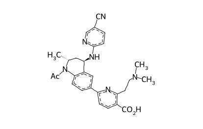 CC(=O)N1c2ccc(-c3ccc(C(=O)O)c(CCN(C)C)n3)cc2[C@H](Nc2ccc(C#N)cn2)C[C@H]1C